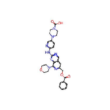 O=C(OCc1cc2cnc(Nc3ccc(N4CCN(C(=O)O)CC4)cn3)nc2c(N2CCOCC2)n1)c1ccccc1